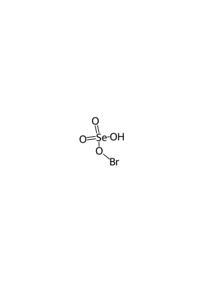 O=[Se](=O)(O)OBr